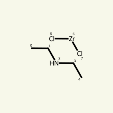 CCNCC.[Cl][Zr][Cl]